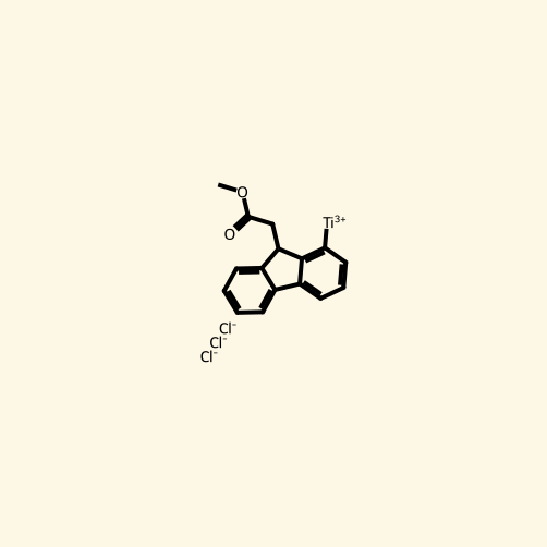 COC(=O)CC1c2ccccc2-c2ccc[c]([Ti+3])c21.[Cl-].[Cl-].[Cl-]